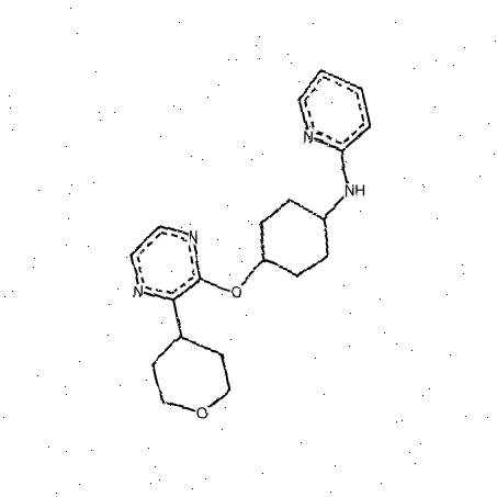 c1ccc(NC2CCC(Oc3nccnc3C3CCOCC3)CC2)nc1